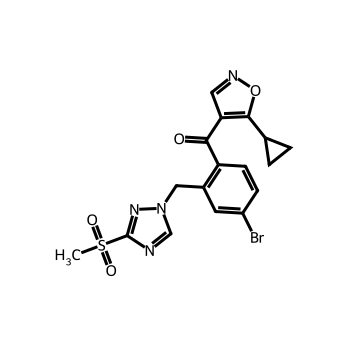 CS(=O)(=O)c1ncn(Cc2cc(Br)ccc2C(=O)c2cnoc2C2CC2)n1